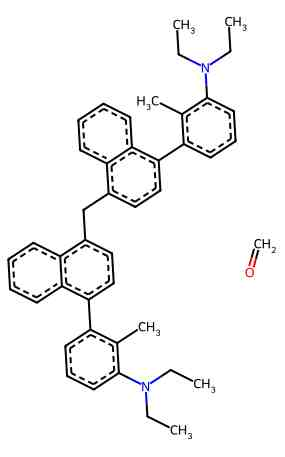 C=O.CCN(CC)c1cccc(-c2ccc(Cc3ccc(-c4cccc(N(CC)CC)c4C)c4ccccc34)c3ccccc23)c1C